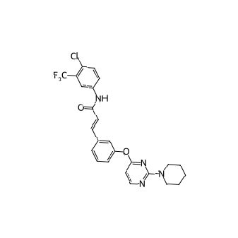 O=C(C=Cc1cccc(Oc2ccnc(N3CCCCC3)n2)c1)Nc1ccc(Cl)c(C(F)(F)F)c1